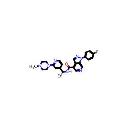 CC[C@H](NC(=O)c1cncc2c1cnn2-c1ccc(F)cc1)c1ccnc(N2CCN(C)CC2)c1